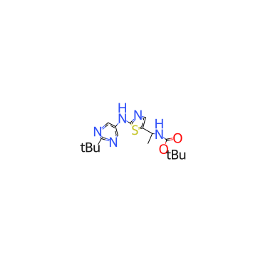 CC(NC(=O)OC(C)(C)C)c1cnc(Nc2cnc(C(C)(C)C)nc2)s1